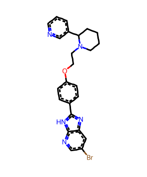 Brc1cnc2[nH]c(-c3ccc(OCCN4CCCCC4c4cccnc4)cc3)nc2c1